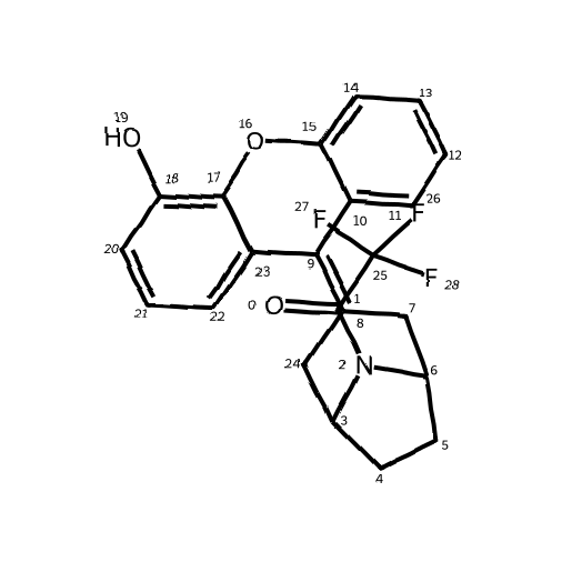 O=C(N1C2CCC1CC(=C1c3ccccc3Oc3c(O)cccc31)C2)C(F)(F)F